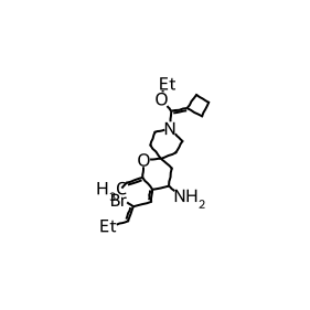 C/C=C1/OC2(CCN(C(OCC)=C3CCC3)CC2)CC(N)/C1=C/C(Br)=C/CC